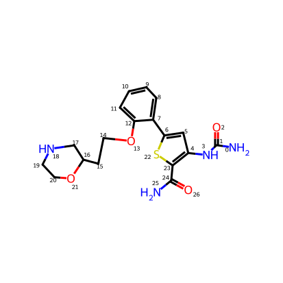 NC(=O)Nc1cc(-c2ccccc2OCCC2CNCCO2)sc1C(N)=O